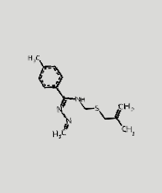 C=N/N=C(\NCSCC(=C)C)c1ccc(C)cc1